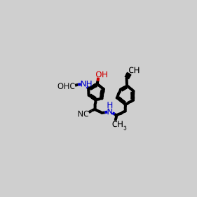 C#Cc1ccc(CC(C)NCC(C#N)c2ccc(O)c(NC=O)c2)cc1